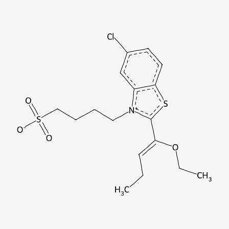 CCC=C(OCC)c1sc2ccc(Cl)cc2[n+]1CCCCS(=O)(=O)[O-]